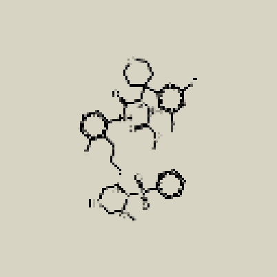 COC(=O)N[C@H](C(=O)Nc1cccc(F)c1CCC[C@H]1CNC[C@H](C)N1S(=O)(=O)c1ccccc1)C1(c2cc(F)cc(F)c2)CCOCC1